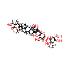 C=C[C@@H]1[C@@H](O)[C@H](OC[C@H]2OC(O[C@@H]3CC4=CC[C@H]5C6CC[C@H]([C@H](C)[C@@]7(C=C)CC(C)=C(CO)C(=O)O7)[C@@]6(C)CC[C@@H]5[C@@]4(C)[C@@H](O)C3)[C@H](O)[C@@H](O)[C@@H]2O)O[C@H](CO)[C@H]1O